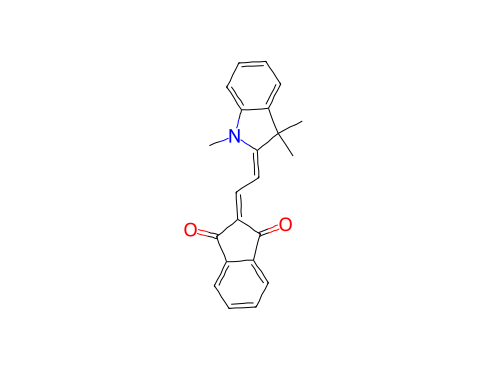 CN1/C(=C\C=C2C(=O)c3ccccc3C2=O)C(C)(C)c2ccccc21